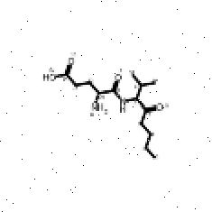 CCCCC(=O)C(NC(=O)C(N)CCC(=O)O)C(C)C